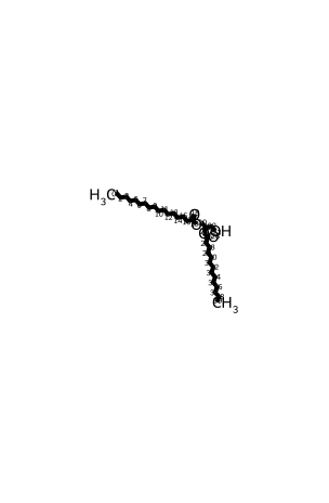 CCCCCCCCCCCCCCCCCC(=O)OCC(CO)OC(=O)CCCCCCCCCCCCC